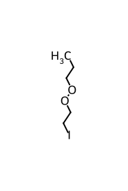 CCCOOCCI